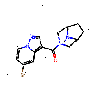 CN1C2CCC1CN(C(=O)c1cnn3ccc(Br)cc13)C2